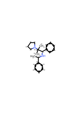 CC(N[C@H](c1ccccc1)C(C)(C)N1CCCC1)c1ccccc1